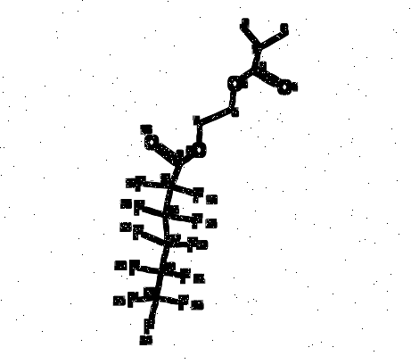 CC(C)C(=O)OCCOC(=O)C(F)(F)C(F)(F)C(F)(F)C(F)(F)C(F)(F)F